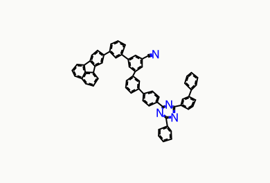 N#Cc1cc(-c2cccc(-c3ccc(-c4nc(-c5ccccc5)nc(-c5cccc(-c6ccccc6)c5)n4)cc3)c2)cc(-c2cccc(-c3ccc4c(c3)-c3cccc5cccc-4c35)c2)c1